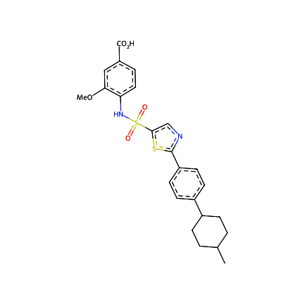 COc1cc(C(=O)O)ccc1NS(=O)(=O)c1cnc(-c2ccc(C3CCC(C)CC3)cc2)s1